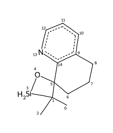 CC1(C)[SiH2]OC12CCCc1cccnc12